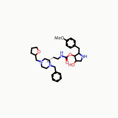 COc1ccc(CC2NCC(O)C2OC(=O)NCC[C@H]2CN(CC3CCCO3)CCN2Cc2ccccc2)cc1